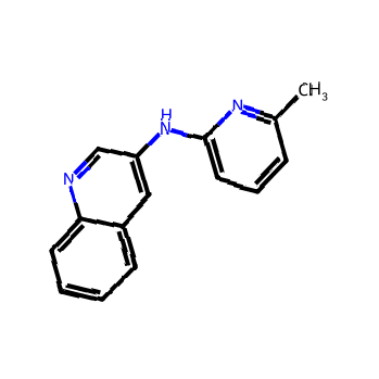 Cc1cccc(Nc2cnc3ccccc3c2)n1